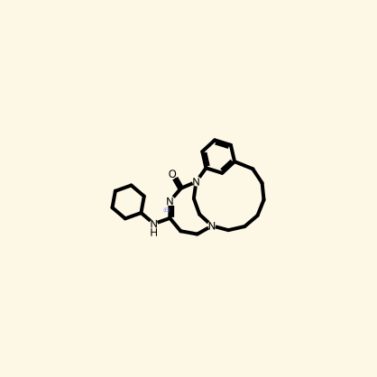 O=C1/N=C(/NC2CCCCC2)CCN2CCCCCCc3cccc(c3)N1CC2